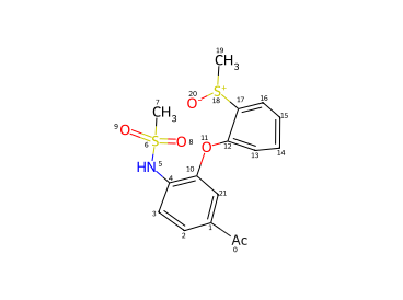 CC(=O)c1ccc(NS(C)(=O)=O)c(Oc2ccccc2[S+](C)[O-])c1